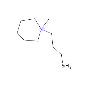 C[N+]1(CCC[SiH3])CCCCC1